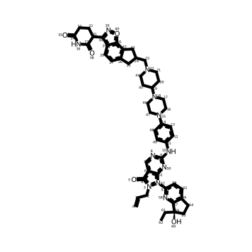 C=CCn1c(=O)c2cnc(Nc3ccc(N4CCN(C5CCN(CC6Cc7ccc8c(C9CCC(=O)NC9=O)noc8c7C6)CC5)CC4)cc3)nc2n1-c1ccc2c(n1)[C@@](O)(CC)CC2